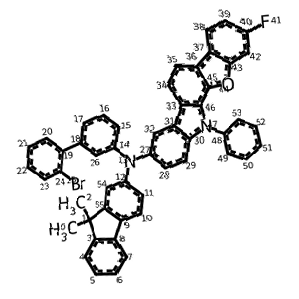 CC1(C)c2ccccc2-c2ccc(N(c3cccc(-c4ccccc4Br)c3)c3ccc4c(c3)c3ccc5c6ccc(F)cc6oc5c3n4-c3ccccc3)cc21